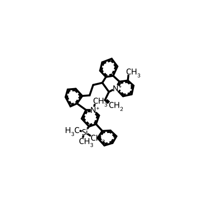 C=CC1C(CCc2ccccc2-c2cc([Si](C)(C)C)c(-c3ccccc3)c[n+]2C)c2ccccc2-c2c(C)ccc[n+]21